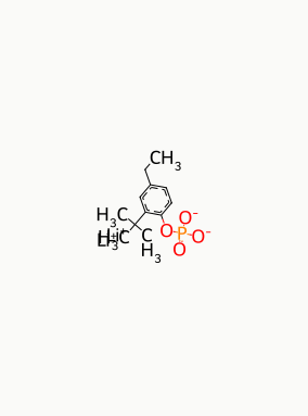 CCc1ccc(OP(=O)([O-])[O-])c(C(C)(C)C)c1.[Li+].[Li+]